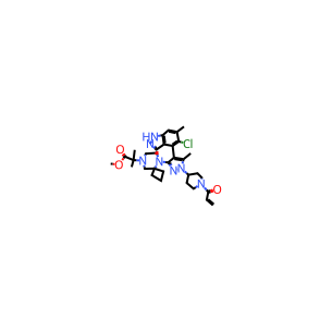 C=CC(=O)N1CCC(n2nc(N3CCN(C(C)(C)C(=O)OC)CC34CCC4)c(-c3c(Cl)c(C)cc4[nH]ncc34)c2C)CC1